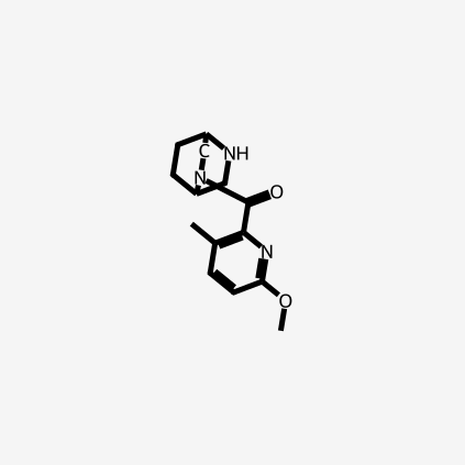 COc1ccc(C)c(C(=O)N2CC3CCC2CN3)n1